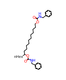 CCCCCCC(CCCCCCCCCCCOC(=O)NCc1ccccc1)OC(=O)NCc1ccccc1